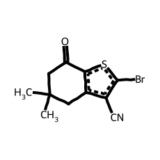 CC1(C)CC(=O)c2sc(Br)c(C#N)c2C1